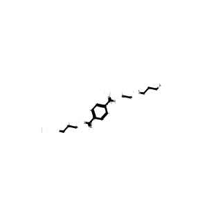 CCCCOCCOC(=O)c1ccc(C(=O)OCCCC)cc1